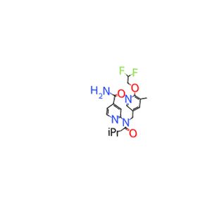 Cc1cc(CN(C(=O)C(C)C)c2cc(C(N)=O)ccn2)cnc1OCC(F)F